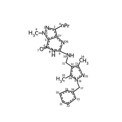 CCCc1nn(C)c2c(=O)[nH]c(NCc3c(C)nn(Cc4ccccc4)c3C)nc12